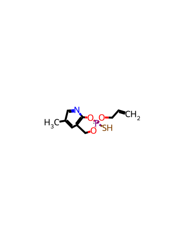 C=CCO[P]1(S)OCc2cc(C)cnc2O1